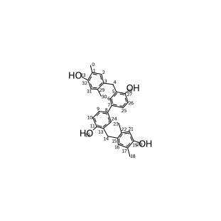 Cc1cc(Cc2cc(-c3ccc(O)c(Cc4cc(C)c(O)cc4C)c3)ccc2O)c(C)cc1O